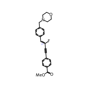 COC(=O)c1ccc(C#C/C(F)=C/c2ccc(CN3CCOCC3)cc2)cc1